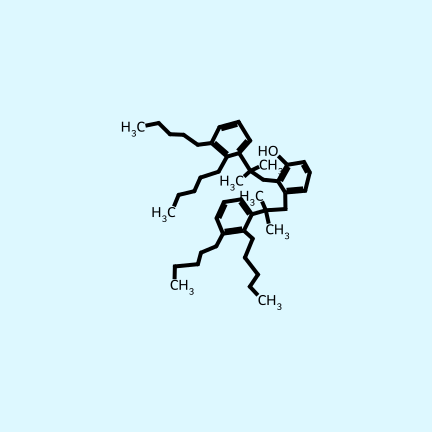 CCCCCc1cccc(C(C)(C)Cc2cccc(O)c2CC(C)(C)c2cccc(CCCCC)c2CCCCC)c1CCCCC